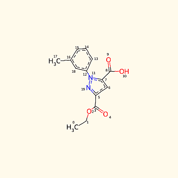 CCOC(=O)c1cc(C(=O)O)n(-c2cccc(C)c2)n1